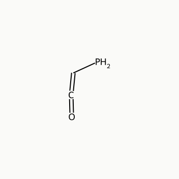 O=C=CP